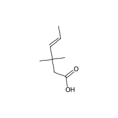 C/C=C/C(C)(C)CC(=O)O